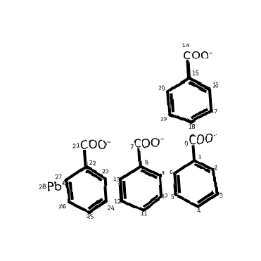 O=C([O-])c1ccccc1.O=C([O-])c1ccccc1.O=C([O-])c1ccccc1.O=C([O-])c1ccccc1.[Pb+4]